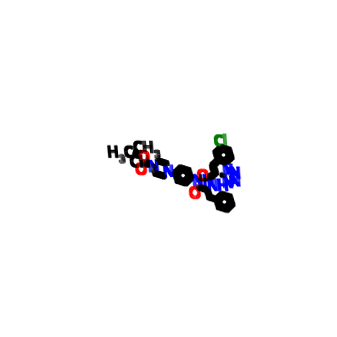 CC(C)(C)OC(=O)N1CCN(c2ccc(NC(=O)C(Cc3ccccc3)NC(=O)C=Cc3cc(Cl)ccc3-n3cnnn3)cc2)CC1